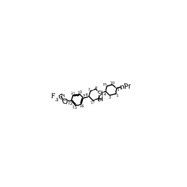 CCCC1CCC([SiH]2CCC(c3ccc(OC(F)(F)F)cc3)CC2)CC1